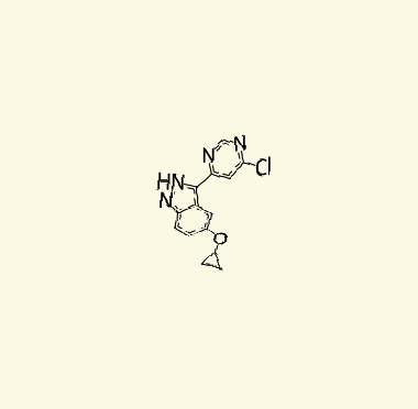 Clc1cc(-c2[nH]nc3ccc(OC4CC4)cc23)ncn1